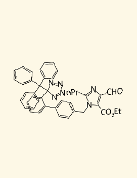 CCCc1nc(C=O)c(C(=O)OCC)n1Cc1ccc(-c2ccccc2C2(C(c3ccccc3)(c3ccccc3)c3ccccc3)N=NN=N2)cc1